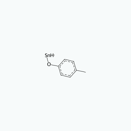 Cc1ccc([O][SnH])cc1